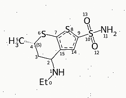 CCNC1C[C@H](C)Sc2sc(S(N)(=O)=O)cc21